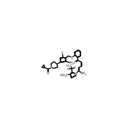 C=C(/C=C\C=C(/N)n1ncc(C(=O)O)c1C(C)(F)F)c1ccccc1OCc1c(F)cc(C2CCN(C(=O)C3CC3)CC2)cc1F